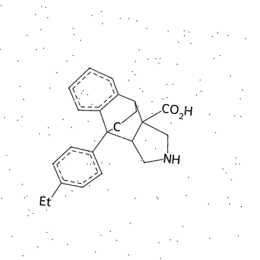 CCc1ccc(C23CCC(c4ccccc42)C2(C(=O)O)CNCC32)cc1